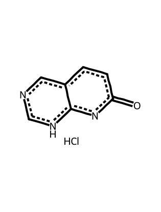 Cl.O=c1ccc2cnc[nH]c-2n1